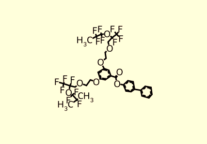 CC(C)(F)C(F)(F)OC(F)(COCCOc1cc(OCCOCC(F)(OC(F)(F)C(C)(F)F)C(F)(F)F)cc(C(=O)Oc2ccc(-c3ccccc3)cc2)c1)C(F)(F)F